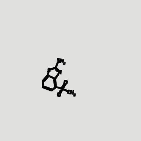 CS(=O)(=O)c1cccc2sc(N)nc12